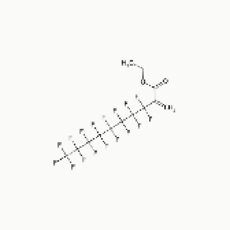 C=C(C(=O)OCC)C(F)(F)C(F)(F)C(F)(F)C(F)(F)C(F)(F)C(F)(F)C(F)(F)C(F)(F)F